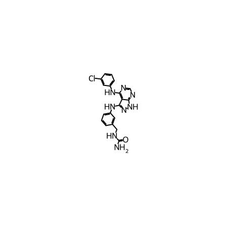 NC(=O)NCc1cccc(Nc2n[nH]c3ncnc(Nc4cccc(Cl)c4)c23)c1